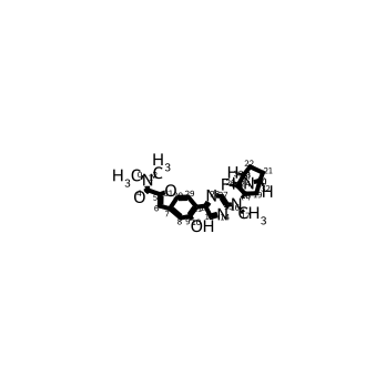 CN(C)C(=O)c1cc2cc(O)c(-c3cnc(N(C)[C@@H]4C[C@H]5CC[C@H](N5)[C@@H]4F)cn3)cc2o1